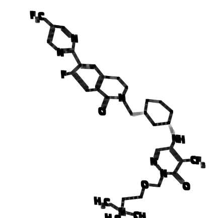 C[Si](C)(C)CCOCn1ncc(N[C@H]2CCC[C@@H](CN3CCc4cc(-c5ncc(C(F)(F)F)cn5)c(F)cc4C3=O)C2)c(C(F)(F)F)c1=O